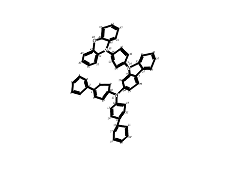 C1=C(c2ccccc2)CCC(N(c2ccc(-c3ccccc3)cc2)c2ccc3c4ccccc4n(-c4ccc(N5c6ccccc6Oc6ccccc65)cc4)c3c2)=C1